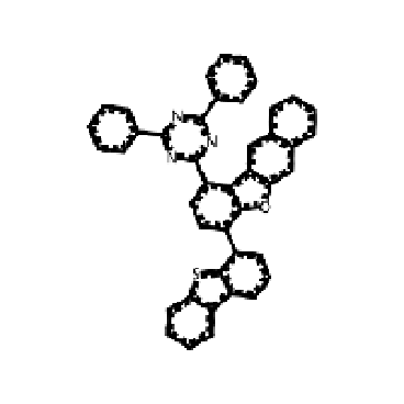 c1ccc(-c2nc(-c3ccccc3)nc(-c3ccc(-c4cccc5c4sc4ccccc45)c4oc5cc6ccccc6cc5c34)n2)cc1